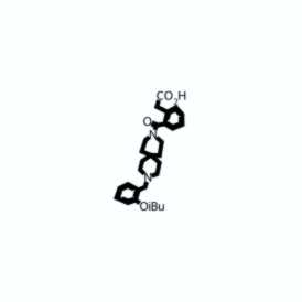 CC(C)COc1ccccc1CN1CCC2(CC1)CCN(C(=O)c1ccccc1CC(=O)O)CC2